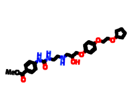 COC(=O)c1ccc(NC(=O)NCCNCC(O)COc2ccc(OCCOC3CCCC3)cc2)cc1